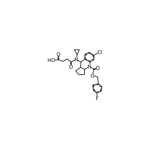 O=C(O)CCC(=O)N(C1CC1)C1c2ccc(Cl)cc2N(C(=O)OCc2ccc(F)cc2)C2CCCC21